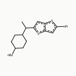 CCCCC1CCC(C(C)c2cc3sc(CCC)cc3s2)CC1